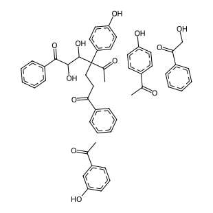 CC(=O)C(CCC(=O)c1ccccc1)(c1ccc(O)cc1)C(O)C(O)C(=O)c1ccccc1.CC(=O)c1ccc(O)cc1.CC(=O)c1cccc(O)c1.O=C(CO)c1ccccc1